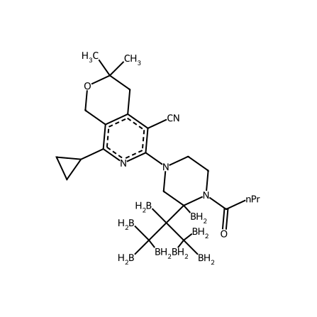 BC(B)(B)C(B)(C(B)(B)B)C1(B)CN(c2nc(C3CC3)c3c(c2C#N)CC(C)(C)OC3)CCN1C(=O)CCC